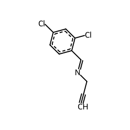 C#CCN=Cc1ccc(Cl)cc1Cl